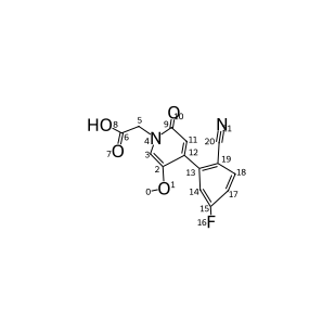 COc1cn(CC(=O)O)c(=O)cc1-c1cc(F)ccc1C#N